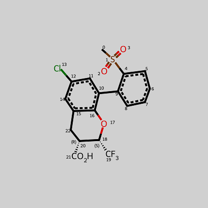 CS(=O)(=O)c1ccccc1-c1cc(Cl)cc2c1O[C@H](C(F)(F)F)[C@H](C(=O)O)C2